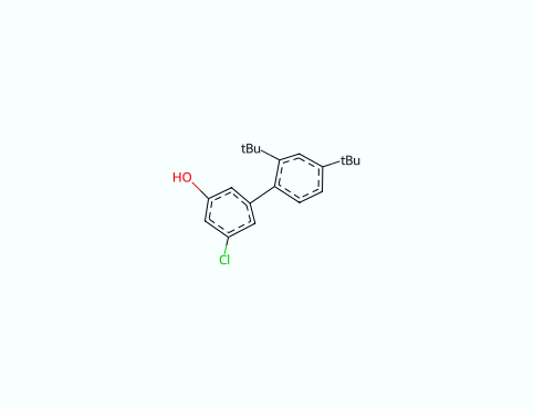 CC(C)(C)c1ccc(-c2cc(O)cc(Cl)c2)c(C(C)(C)C)c1